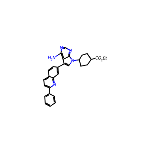 CCOC(=O)C1CCC(n2cc(-c3ccc4ccc(-c5ccccc5)nc4c3)c3c(N)ncnc32)CC1